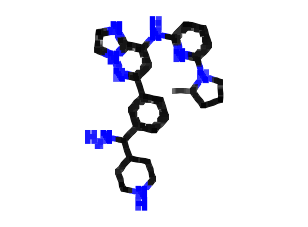 CC1CCCN1c1cccc(Nc2cc(-c3cccc(C(N)C4CCNCC4)c3)nn3ccnc23)n1